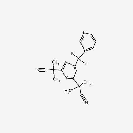 CC(C)(C#N)c1cc(C(C)(C)C#N)cc(C(F)(F)c2cccnc2)c1